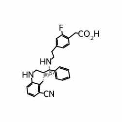 N#Cc1cccc2c1C[C@@H]([C@H](NCCc1ccc(CC(=O)O)c(F)c1)c1ccccc1)CN2